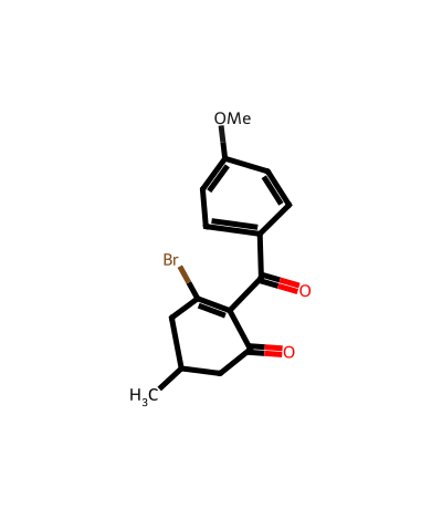 COc1ccc(C(=O)C2=C(Br)CC(C)CC2=O)cc1